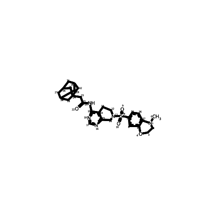 CN1CCOc2cc(S(=O)(=O)N3CCc4c(ncnc4NC(=O)CC45CC6CC(CC(C6)C4)C5)C3)ccc21